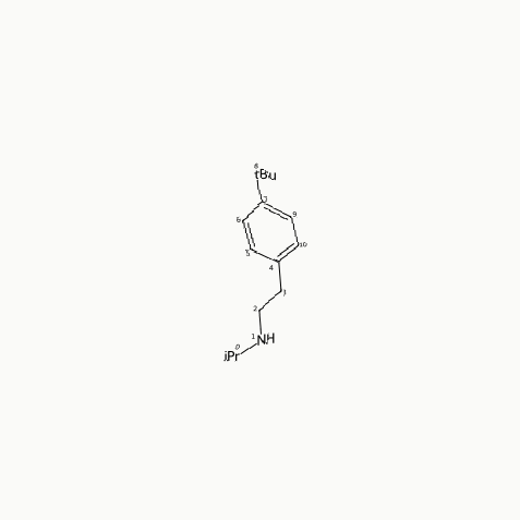 CC(C)NCCc1ccc(C(C)(C)C)cc1